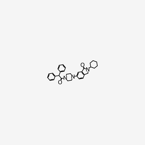 O=C(C(c1ccccc1)c1ccccc1)N1CCN(c2ccc3c(c2)C(=O)N(C2CCCCC2)C3)CC1